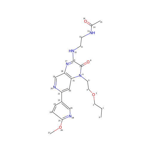 CCCOCCn1c(=O)c(NCCNC(C)=O)nc2cnc(-c3ccc(OC)nc3)cc21